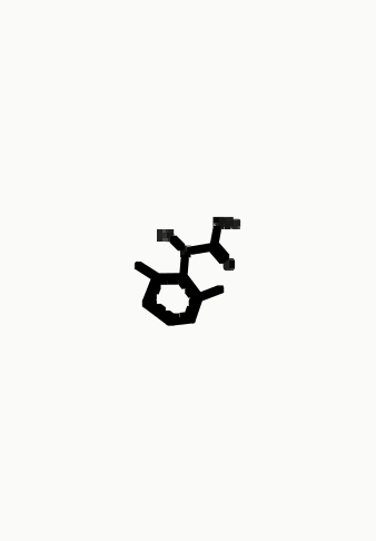 CNC(=O)N(S)c1c(C)cccc1C